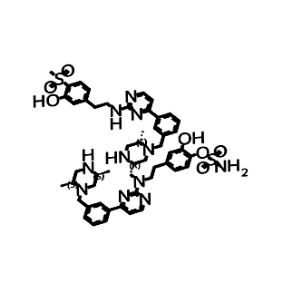 C[C@H]1CN(Cc2cccc(-c3ccnc(N(CCc4ccc(OS(N)(=O)=O)c(O)c4)C[C@H]4CN(Cc5cccc(-c6ccnc(NCCc7ccc(S(C)(=O)=O)c(O)c7)n6)c5)[C@@H](C)CN4)n3)c2)[C@@H](C)CN1